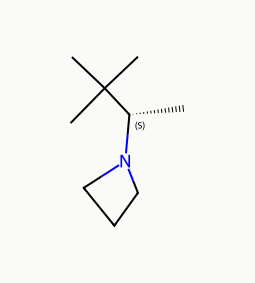 C[C@H](N1CCC1)C(C)(C)C